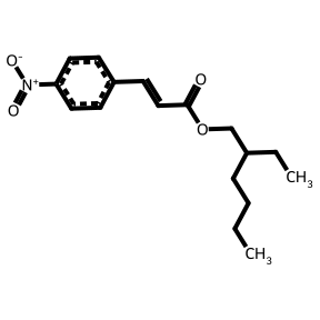 CCCCC(CC)COC(=O)C=Cc1ccc([N+](=O)[O-])cc1